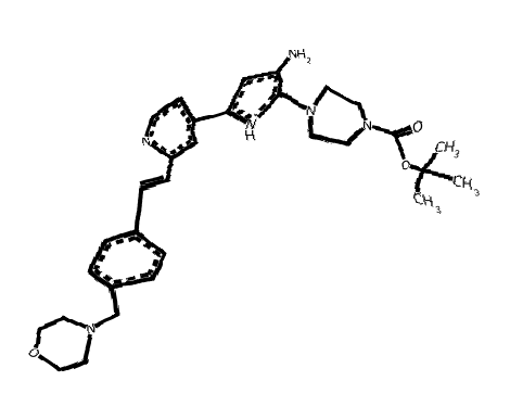 CC(C)(C)OC(=O)N1CCN(c2[nH]c(-c3ccnc(/C=C/c4ccc(CN5CCOCC5)cc4)c3)cc2N)CC1